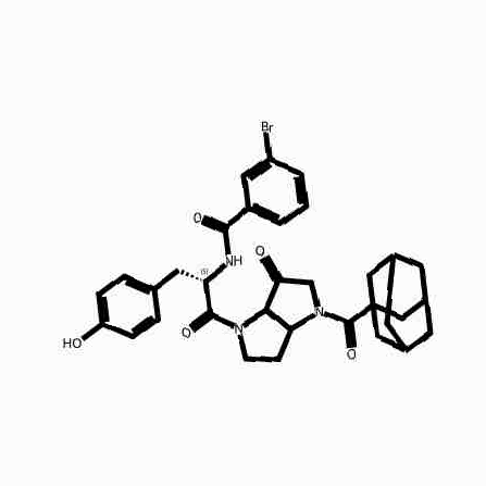 O=C(N[C@@H](Cc1ccc(O)cc1)C(=O)N1CCC2C1C(=O)CN2C(=O)C12CC3CC(CC(C3)C1)C2)c1cccc(Br)c1